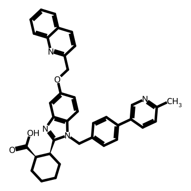 Cc1ccc(-c2ccc(Cn3c([C@H]4CCCC[C@H]4C(=O)O)nc4cc(OCc5ccc6ccccc6n5)ccc43)cc2)cn1